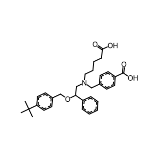 CC(C)(C)c1ccc(COC(CN(CCCCC(=O)O)Cc2ccc(C(=O)O)cc2)c2ccccc2)cc1